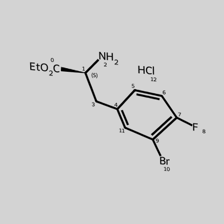 CCOC(=O)[C@@H](N)Cc1ccc(F)c(Br)c1.Cl